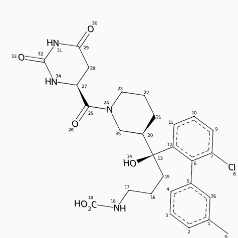 Cc1cccc(-c2c(Cl)cccc2[C@](O)(CCCNC(=O)O)[C@@H]2CCCN(C(=O)[C@@H]3CC(=O)NC(=O)N3)C2)c1